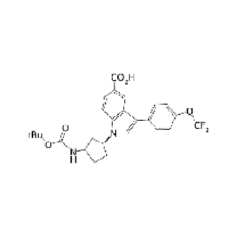 CC(C)(C)OC(=O)N[C@@H]1CC[C@H](n2cc(-c3ccc(OC(F)(F)F)cc3)c3cc(C(=O)O)ccc32)C1